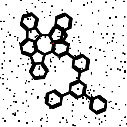 c1ccc(-c2cc(-c3ccccc3)nc(-c3cccc(-c4nc(-c5ccccc5)nc(-n5c6ccccc6c6ccc7c8ccccc8n(-c8ccccc8)c7c65)n4)c3)c2)cc1